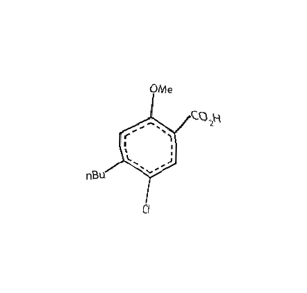 CCCCc1cc(OC)c(C(=O)O)cc1Cl